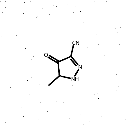 CC1NN=C(C#N)C1=O